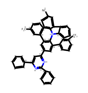 N#Cc1ccc2c(c1)c1ccccc1n2-c1c(-c2cccc(C(F)(F)F)c2)cc(-c2cc(-c3ccccc3)nc(-c3ccccc3)n2)cc1-c1cccc(C(F)(F)F)c1